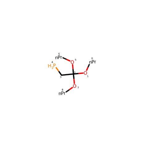 CCCOC(CP)(OCCC)OCCC